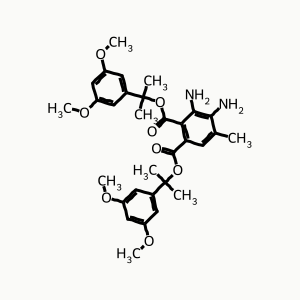 COc1cc(OC)cc(C(C)(C)OC(=O)c2cc(C)c(N)c(N)c2C(=O)OC(C)(C)c2cc(OC)cc(OC)c2)c1